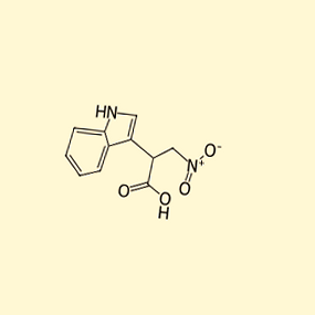 O=C(O)C(C[N+](=O)[O-])c1c[nH]c2ccccc12